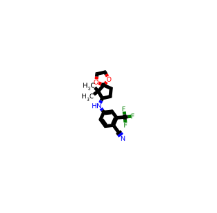 CC1(C)C(Nc2ccc(C#N)c(C(F)(F)F)c2)CCC12OCCO2